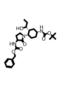 CCC(O)[C@@H]1C[C@H](NC(=O)OC(C)(C)C)CC[C@@H]1N1CCC(NC(=O)OCc2ccccc2)C1=O